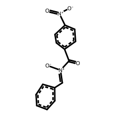 O=C(c1ccc([N+](=O)[O-])cc1)[N+]([O-])=Cc1ccccc1